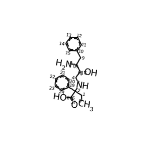 CCC(NC[C@@H](O)[C@@H](N)Cc1ccccc1)(C(=O)O)c1ccccc1